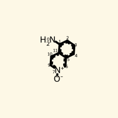 Nc1cccc2c[n+]([O-])ccc12